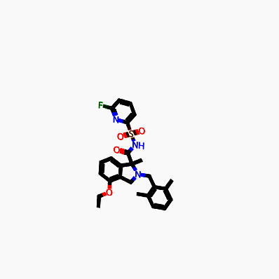 CCOc1cccc2c1CN(Cc1c(C)cccc1C)C2(C)C(=O)NS(=O)(=O)c1cccc(F)n1